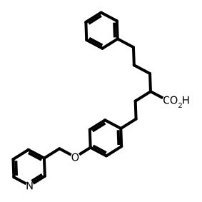 O=C(O)C(CCCc1ccccc1)CCc1ccc(OCc2cccnc2)cc1